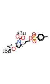 Cc1ccc(S(=O)(=O)OCCC[C@@H]2C[C@H](O[Si](C)(C)C(C)(C)C)CN2C(=O)OC(C)(C)C)cc1